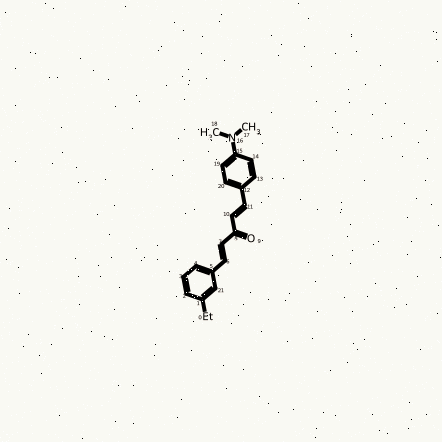 CCc1cccc(/C=C/C(=O)/C=C/c2ccc(N(C)C)cc2)c1